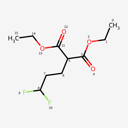 CCOC(=O)C(CCC(F)F)C(=O)OCC